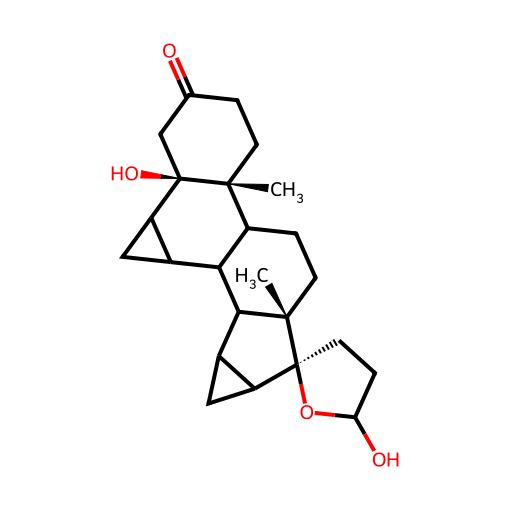 C[C@]12CCC3C(C4CC4[C@]4(O)CC(=O)CC[C@]34C)C1C1CC1[C@@]21CCC(O)O1